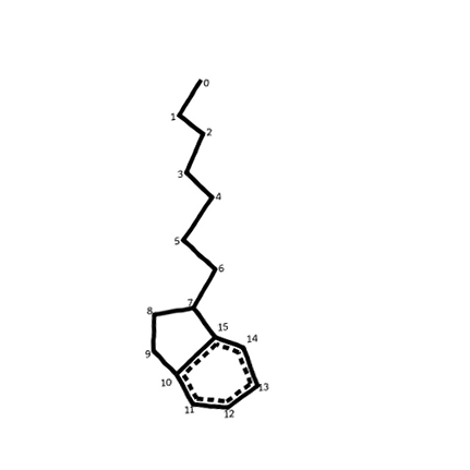 CCCCCCCC1CCc2ccccc21